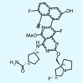 C#Cc1c(F)ccc2cc(O)cc(-c3nc(OC)c4c(N[C@@H]5CC[C@H](C(N)=O)C5)nc(OC[C@@]56CCCN5C[C@H](F)C6)nc4c3F)c12